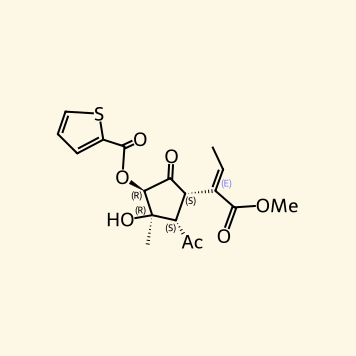 C/C=C(/C(=O)OC)[C@H]1C(=O)[C@H](OC(=O)c2cccs2)[C@](C)(O)[C@H]1C(C)=O